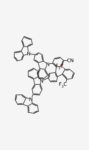 N#Cc1ccc(-n2c3ccccc3c3cc(-n4c5ccccc5c5ccccc54)ccc32)c(-c2cc(-n3c4ccccc4c4cc(-n5c6ccccc6c6ccccc65)ccc43)ccc2-c2c(C(F)(F)F)cccc2C(F)(F)F)c1